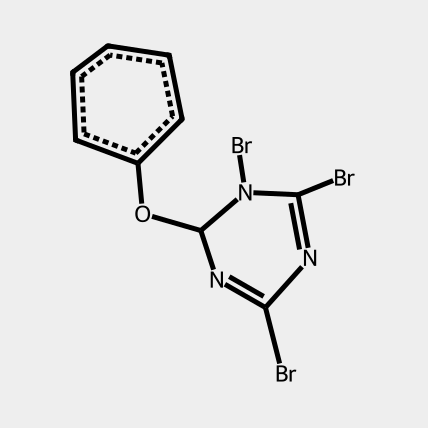 BrC1=NC(Oc2ccccc2)N(Br)C(Br)=N1